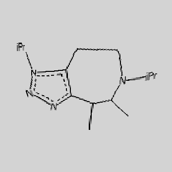 CC1c2nnn(C(C)C)c2CCCN(C(C)C)C1C